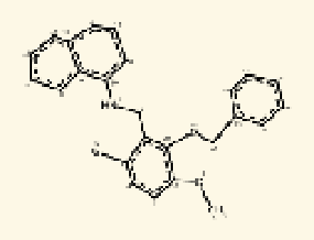 COc1ccc(Br)c(CNc2cccc3ccccc23)c1OCc1ccccc1